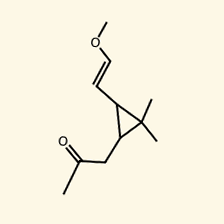 COC=CC1C(CC(C)=O)C1(C)C